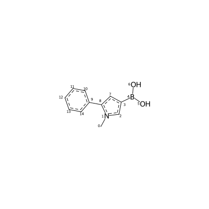 Cn1cc(B(O)O)cc1-c1ccccc1